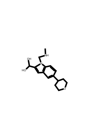 CNCn1c(C(O)O)cc2cc(C3CCOCC3)ccc21